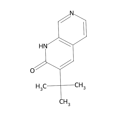 CC(C)(C)c1cc2ccncc2[nH]c1=O